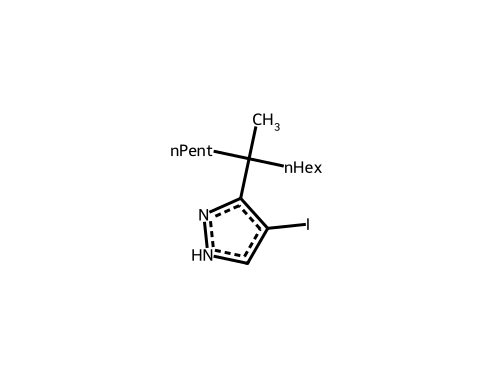 CCCCCCC(C)(CCCCC)c1n[nH]cc1I